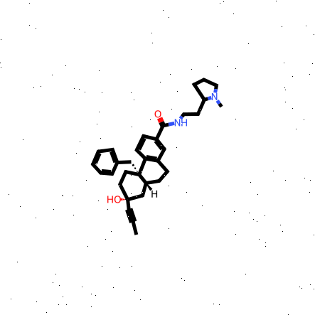 CC#C[C@@]1(O)CC[C@@]2(Cc3ccccc3)c3ccc(C(=O)NCCC4CCCN4C)cc3CC[C@@H]2C1